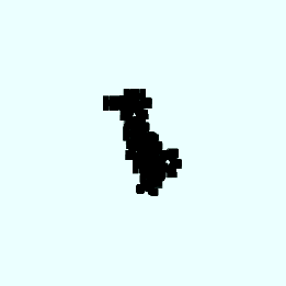 CC(C)(C)OC(=O)N[C@@H](C(=O)N1CCC[C@H]1C(=O)NCc1ccc(C(=N)N)cc1)C1CCCCC1